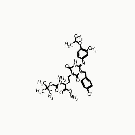 Cc1cc(/N=c2\[nH]c(=O)n(CC[C@@H](C(=O)ON)N(N)C(=O)OC(C)(C)C)c(=O)n2Cc2ccc(Cl)cc2)ccc1OC(C)C